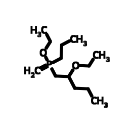 C=P(CCC)(CC(CCC)OCC)OCC